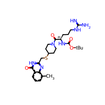 Cc1cccc2c(=O)[nH]c(CSC3CCN(C(=O)[C@@H](CCCNC(=N)N)NC(=O)OC(C)(C)C)CC3)nc12